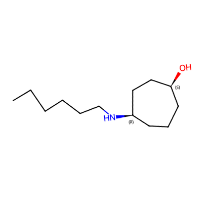 CCCCCCN[C@@H]1CCC[C@H](O)CC1